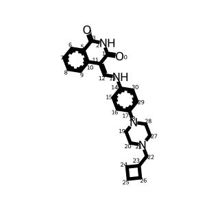 O=C1NC(=O)c2ccccc2C1=CNc1ccc(N2CCN(CC3CCC3)CC2)cc1